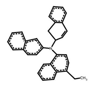 CCc1ccc(N(c2ccc3ccccc3c2)C2C=Cc3ccccc3C2)c2ccccc12